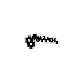 CCCCCCO[N+]1=NN1c1cccc2ccccc12